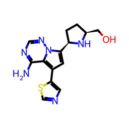 Nc1ncnn2c([C@H]3CC[C@@H](CO)N3)cc(-c3cncs3)c12